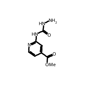 COC(=O)c1ccnc(NC(=O)NN)c1